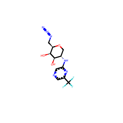 [N-]=[N+]=NC[C@H]1OC[C@H](Nc2cncc(C(F)(F)F)n2)[C@@H](O)[C@H]1O